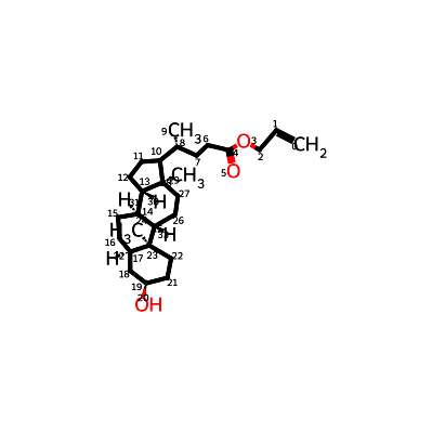 C=CCOC(=O)CC[C@@H](C)C1CC[C@H]2[C@@H]3CC[C@@H]4C[C@H](O)CC[C@]4(C)[C@H]3CC[C@]12C